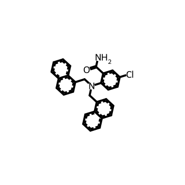 NC(=O)c1cc(Cl)ccc1N(Cc1cccc2ccccc12)Cc1cccc2ccccc12